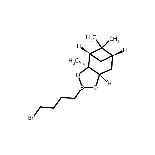 CC1(C)[C@@H]2C[C@H]3OB(CCCCBr)O[C@@]3(C)[C@H]1C2